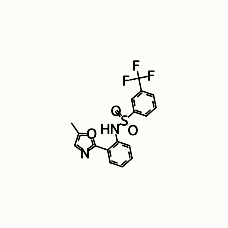 Cc1cnc(-c2ccccc2NS(=O)(=O)c2cccc(C(F)(F)F)c2)o1